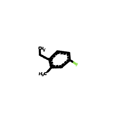 [CH2]Cc1ccc(F)cc1C